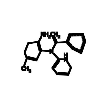 C=C(c1ccccc1)N(C1=CC=CCN1)C1=C(N)CCC(C)=C1